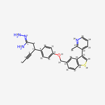 CC#CC(C/C(N)=N/N)c1ccc(OCc2ccc3scc(-c4cccnc4C)c3c2)cc1